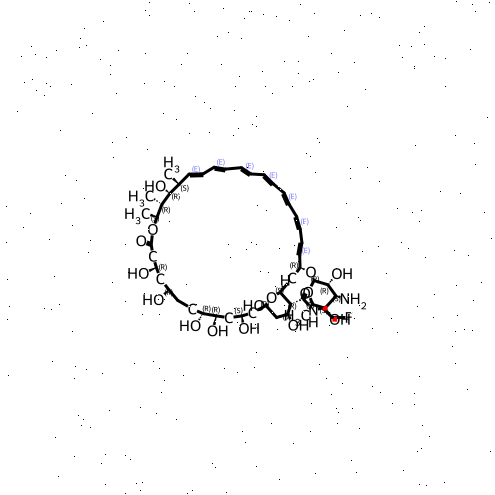 C[C@@H]1[C@H](O)[C@@H](C)/C=C/C=C/C=C/C=C/C=C/C=C/C=C/[C@H](O[C@@H]2O[C@H](C)[C@@H](O)[C@H](N)[C@H]2O)C[C@@H]2O[C@](O)(C[C@@H](O)C[C@@H](O)[C@H](O)CC[C@@H](O)C[C@@H](O)CC(=O)O[C@H]1C)C[C@H](O)[C@H]2C(=O)NCCF